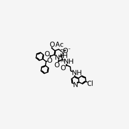 CC(=O)OCC1=C(C(=O)OC(c2ccccc2)c2ccccc2)N2C(=O)[C@@H](NC(=O)CCNc3ccnc4cc(Cl)ccc34)[C@H]2[S+]([O-])C1